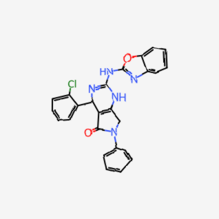 O=C1C2=C(CN1c1ccccc1)NC(Nc1nc3ccccc3o1)=NC2c1ccccc1Cl